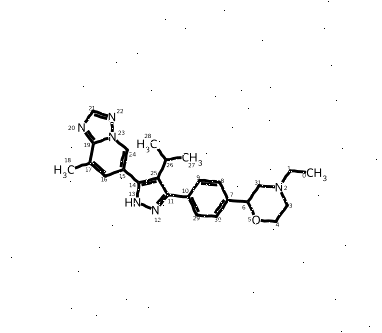 CCN1CCOC(c2ccc(-c3n[nH]c(-c4cc(C)c5ncnn5c4)c3C(C)C)cc2)C1